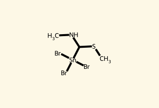 CN[CH](SC)[Sn]([Br])([Br])[Br]